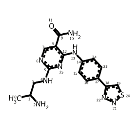 CC(N)CNc1ncc(C(N)=O)c(Nc2ccc(-c3csnn3)cc2)n1